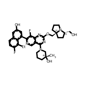 CCc1c(F)ccc2cc(O)cc(-c3ncc4c(N5CCC[C@@](C)(O)C5)nc(OC[C@@]56CCCN5[C@H](CO)CC6)nc4c3F)c12